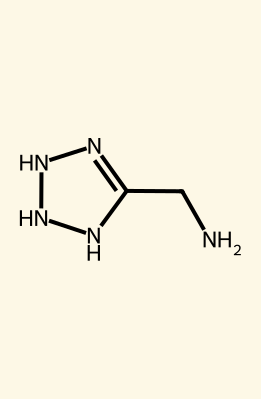 NCC1=NNNN1